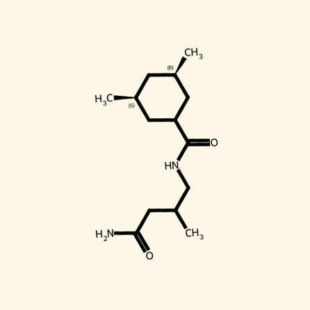 CC(CNC(=O)C1C[C@@H](C)C[C@@H](C)C1)CC(N)=O